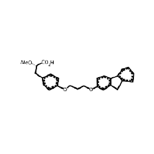 CO[C@@H](Cc1ccc(OCCCOc2ccc3c(c2)Cc2ccccc2-3)cc1)C(=O)O